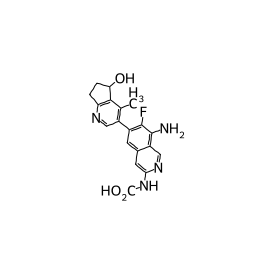 Cc1c(-c2cc3cc(NC(=O)O)ncc3c(N)c2F)cnc2c1C(O)CC2